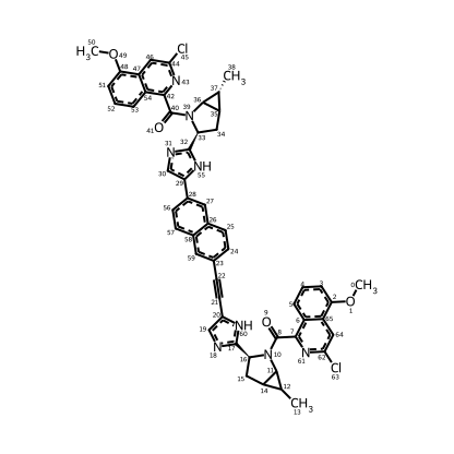 COc1cccc2c(C(=O)N3C4C(C)C4C[C@H]3c3ncc(C#Cc4ccc5cc(-c6cnc([C@@H]7CC8C([C@@H]8C)N7C(=O)c7nc(Cl)cc8c(OC)cccc78)[nH]6)ccc5c4)[nH]3)nc(Cl)cc12